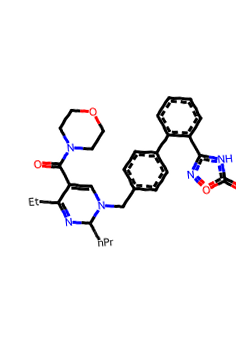 CCCC1N=C(CC)C(C(=O)N2CCOCC2)=CN1Cc1ccc(-c2ccccc2-c2noc(=O)[nH]2)cc1